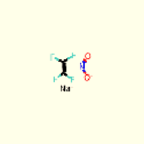 FC(F)=C(F)F.O=N[O-].[Na+]